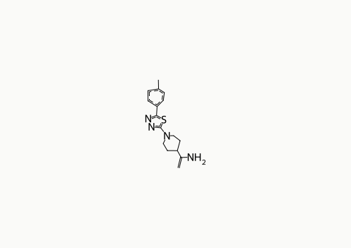 C=C(N)C1CCN(c2nnc(-c3ccc(C)cc3)s2)CC1